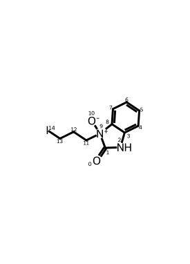 O=C1Nc2ccccc2[N+]1([O-])CCCI